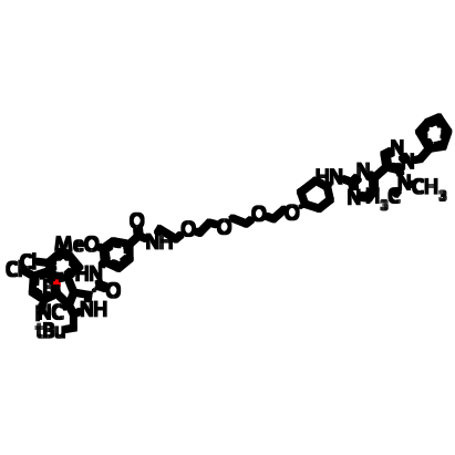 COc1cc(C(=O)NCCOCCOCCOCCO[C@H]2CC[C@H](Nc3nccc(-c4cnn(Cc5ccccc5)c4N(C)C)n3)CC2)ccc1NC(=O)[C@@H]1NC(CC(C)(C)C)[C@](C#N)(c2ccc(Cl)cc2F)C1c1cccc(Cl)c1F